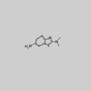 CN(C)c1nc2ccc(N)cc2s1